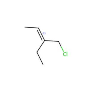 C/C=C(\CC)CCl